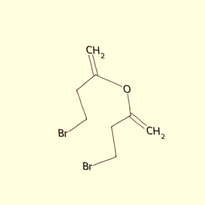 C=C(CCBr)OC(=C)CCBr